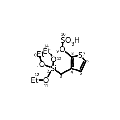 CCO[Si](Cc1ccsc1OS(=O)(=O)O)(OCC)OCC